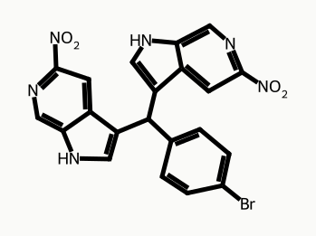 O=[N+]([O-])c1cc2c(C(c3ccc(Br)cc3)c3c[nH]c4cnc([N+](=O)[O-])cc34)c[nH]c2cn1